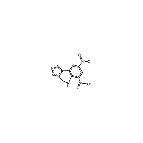 O=[N+]([O-])c1cc2c(c([N+](=O)[O-])c1)NCn1nnnc1-2